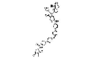 C=CCn1c(=O)c2cnc(Nc3ccc(N4CCN(CC5CCN(c6ccc7c(c6)CN(C6CCC(=O)NC6=O)C7=O)CC5)CC4)cc3)nc2n1-c1ccc2c(n1)[C@@](O)(CC)CC2